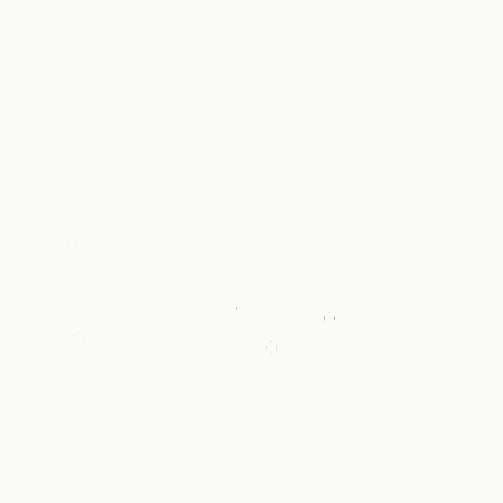 COc1ccc(C2(C(C)C(=O)c3ccc(C)c(C)c3)OC2C)cc1OC